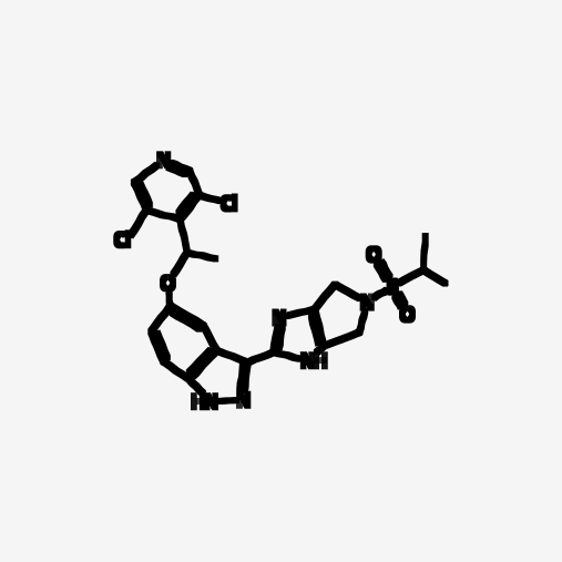 CC(Oc1ccc2[nH]nc(-c3nc4c([nH]3)CN(S(=O)(=O)C(C)C)C4)c2c1)c1c(Cl)cncc1Cl